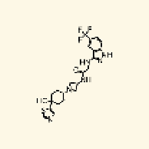 O=C(CNc1n[nH]c2ccc(C(F)(F)F)cc12)NC1CN([C@H]2CC[C@@](O)(c3cncs3)CC2)C1